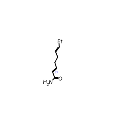 CCC=CCC/C=C/C(N)=O